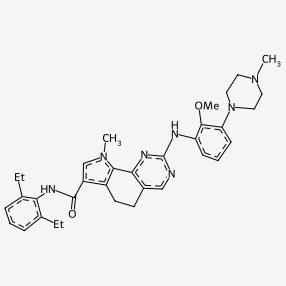 CCc1cccc(CC)c1NC(=O)c1cn(C)c2c1CCc1cnc(Nc3cccc(N4CCN(C)CC4)c3OC)nc1-2